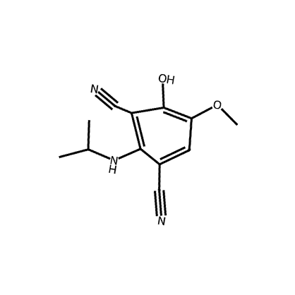 COc1cc(C#N)c(NC(C)C)c(C#N)c1O